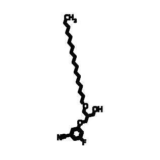 CCCCCCCCCCCCCCCCCCOCC(CO)COc1cc(F)cc(C#N)c1